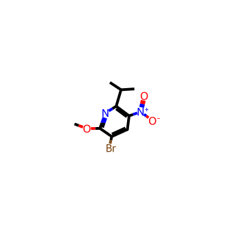 COc1nc(C(C)C)c([N+](=O)[O-])cc1Br